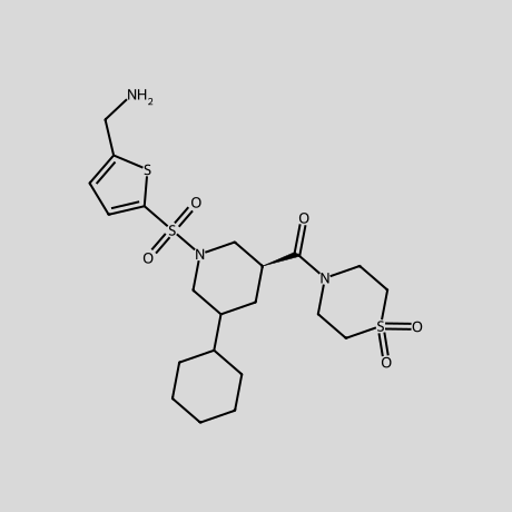 NCc1ccc(S(=O)(=O)N2CC(C3CCCCC3)C[C@H](C(=O)N3CCS(=O)(=O)CC3)C2)s1